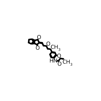 CCC1Oc2cc(C(C)CC(=O)CC=C3C(=O)C4C5CCC(C5)C4C3=O)ccc2NC1=O